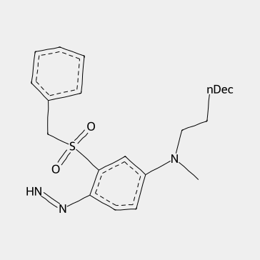 CCCCCCCCCCCCN(C)c1ccc(N=N)c(S(=O)(=O)Cc2ccccc2)c1